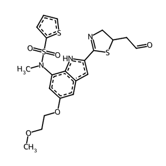 COCCOc1cc(N(C)S(=O)(=O)c2cccs2)c2[nH]c(C3=NCC(CC=O)S3)cc2c1